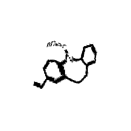 C=Cc1ccc2c(c1)CCc1ccccc1N2CCCCCCCCCC